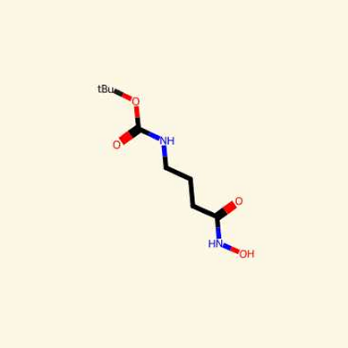 CC(C)(C)OC(=O)NCCCC(=O)NO